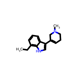 CCc1cccc2c(C3=CCCN(C)C3)c[nH]c12